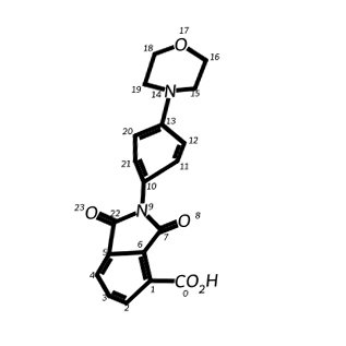 O=C(O)c1cccc2c1C(=O)N(c1ccc(N3CCOCC3)cc1)C2=O